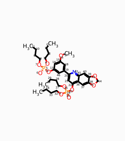 CCCCOP(=O)(OCCCC)Oc1cc(OC)cc(-c2cc(OP(=O)(OCCCC)OCCCC)c3cc4c(cc3n2)OCO4)c1